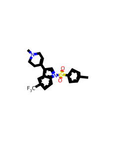 Cc1ccc(S(=O)(=O)n2cc(C3=CCN(C)CC3)c3cc(C(F)(F)F)ccc32)cc1